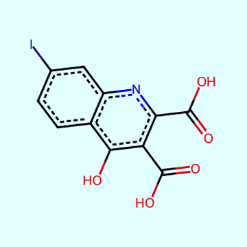 O=C(O)c1nc2cc(I)ccc2c(O)c1C(=O)O